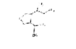 CCC(C)C1COCC1C(C)C